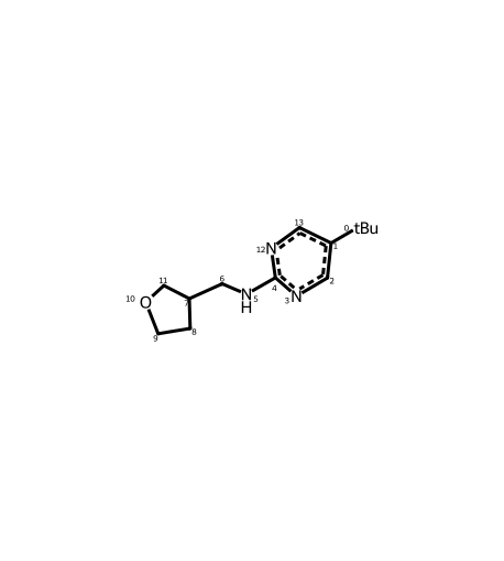 CC(C)(C)c1cnc(NCC2CCOC2)nc1